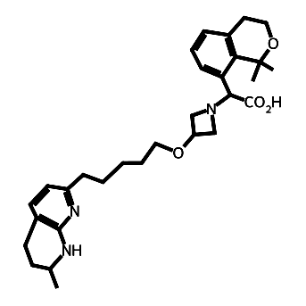 CC1CCc2ccc(CCCCCOC3CN(C(C(=O)O)c4cccc5c4C(C)(C)OCC5)C3)nc2N1